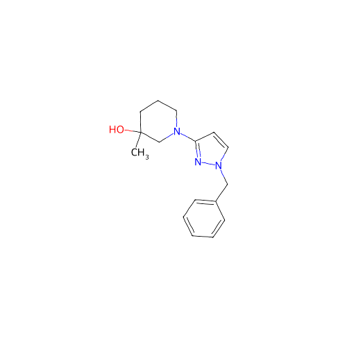 CC1(O)CCCN(c2ccn(Cc3ccccc3)n2)C1